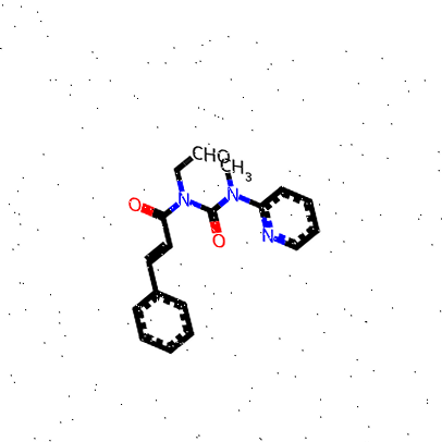 CN(C(=O)N(C[C]=O)C(=O)C=Cc1ccccc1)c1ccccn1